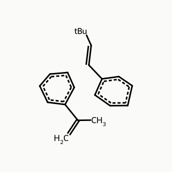 C=C(C)c1ccccc1.CC(C)(C)C=Cc1ccccc1